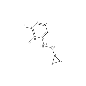 Cc1cccc(POC2CC2)c1C